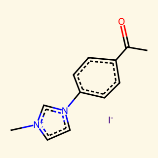 CC(=O)c1ccc(-n2cc[n+](C)c2)cc1.[I-]